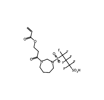 C=CC(=O)OCCC(=O)N1CCCCN(S(=O)(=O)C(F)(F)C(F)(F)C(F)(F)S(=O)(=O)O)C1